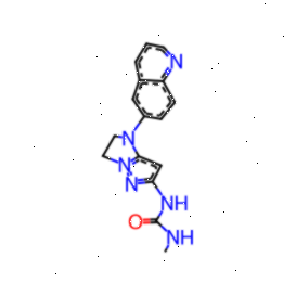 CNC(=O)Nc1cc2n(n1)CCN2c1ccc2ncccc2c1